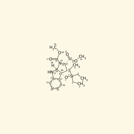 CC[Si](CC)(CC)O[C@@]12C[C@@H](C(=O)OC)N(C(=O)OC)[C@@H]1Nc1ccccc12